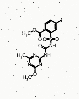 COC(=O)c1ccc(I)cc1S(=O)(=O)NC(=O)Nc1nc(C)nc(OC)n1